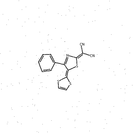 N#CC(C#N)=c1nc(-c2ccccc2)c(=C2SC=CS2)s1